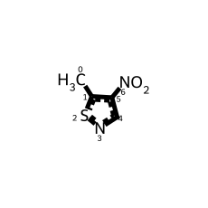 Cc1sncc1[N+](=O)[O-]